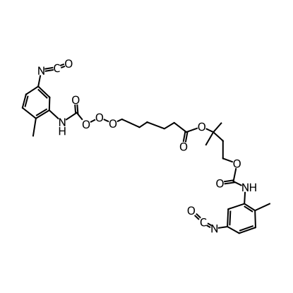 Cc1ccc(N=C=O)cc1NC(=O)OCCC(C)(C)OC(=O)CCCCCOOOC(=O)Nc1cc(N=C=O)ccc1C